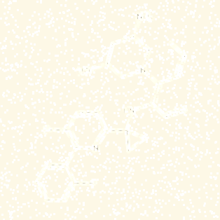 C=C/C(NC1(c2ccc(F)c(-c3ccccc3F)n2)CC1)=C(\C=C/C)N1C[C@@H](N)C[C@@H](O)C1